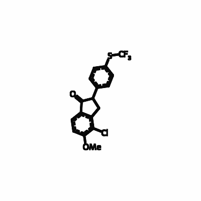 COc1ccc2c(c1Cl)CC(c1ccc(SC(F)(F)F)cc1)C2=O